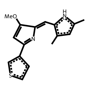 COC1=CC(c2ccsc2)=N/C1=C\c1[nH]c(C)cc1C